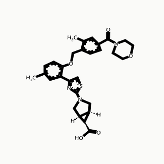 Cc1ccc(OCc2ccc(C(=O)N3CCOCC3)cc2C)c(-c2csc(N3C[C@@H]4[C@H](C3)[C@@H]4C(=O)O)n2)c1